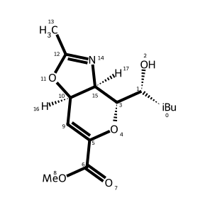 CC[C@@H](C)[C@@H](O)[C@@H]1OC(C(=O)OC)=C[C@H]2OC(C)=N[C@@H]12